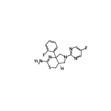 NC1=NC2(c3ccccc3F)CN(c3ncc(F)cn3)C[C@H]2CS1